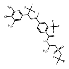 Cc1cc(C(/C=C(\F)c2ccc(C(=O)N[C@H](C)CS(=O)(=O)CC(F)(F)F)c(C(F)(F)F)c2)C(F)(F)F)cc(C)c1Cl